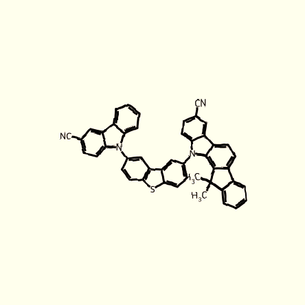 CC1(C)c2ccccc2-c2ccc3c4cc(C#N)ccc4n(-c4ccc5sc6ccc(-n7c8ccccc8c8cc(C#N)ccc87)cc6c5c4)c3c21